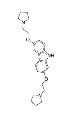 c1cc2c(cc1OCCN1CCCC1)[nH]c1ccc(OCCN3CCCC3)cc12